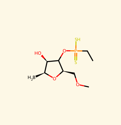 B[C@@H]1O[C@H](COC)C(OP(=S)(S)CC)[C@@H]1O